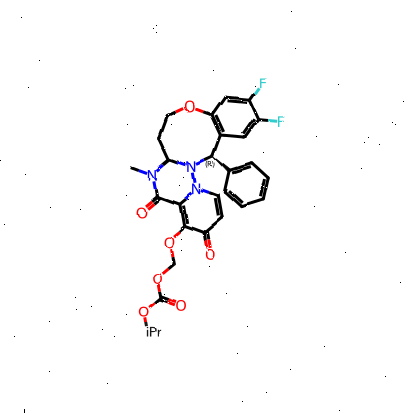 CC(C)OC(=O)OCOc1c2n(ccc1=O)N1C(CCOc3cc(F)c(F)cc3[C@H]1c1ccccc1)N(C)C2=O